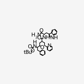 CC(C)(C)OC(=O)NC(Cc1ccccc1)C(=O)CC(CCc1ccccn1)C(=O)NC(Cc1c[nH]c2ccccc12)C(N)=O